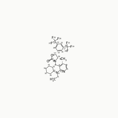 CCN(c1nc[c]cc1CN1C(=O)O[C@H](c2cc(C(F)(F)F)cc(C(F)(F)F)c2)[C@@H]1C)C1CCCCC1